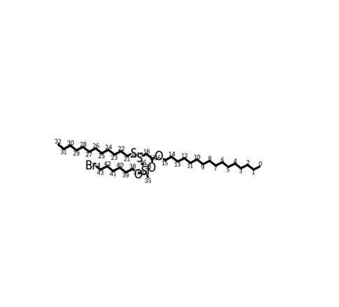 CCCCCCCCCCCCCCCCOC(CSSCCCCCCCCCCCC)O[Si](C)(C)OCCCCCCBr